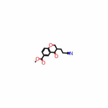 COC(=O)c1ccc2c(c1)C(=O)C(CCC#N)CO2